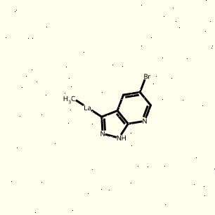 [CH3][La][c]1n[nH]c2ncc(Br)cc12